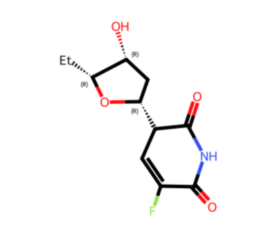 CC[C@H]1O[C@@H](C2C=C(F)C(=O)NC2=O)C[C@H]1O